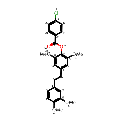 COc1ccc(CCc2cc(OC)c(OC(=O)c3ccc(Cl)cc3)c(OC)c2)cc1OC